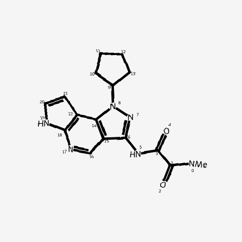 CNC(=O)C(=O)Nc1nn(C2CCCC2)c2c1cnc1[nH]ccc12